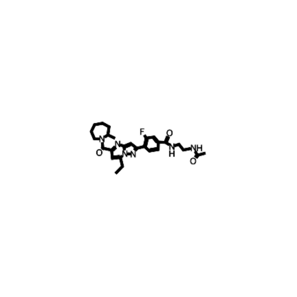 CCc1cc(C(=O)N2CCCCCC2C)nc2cc(-c3ccc(C(=O)NCCNC(C)=O)cc3F)nn12